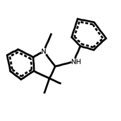 CN1c2ccccc2C(C)(C)C1Nc1ccccc1